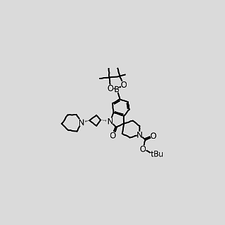 CC(C)(C)OC(=O)N1CCC2(CC1)C(=O)N([C@H]1C[C@@H](N3CCCCC3)C1)c1cc(B3OC(C)(C)C(C)(C)O3)ccc12